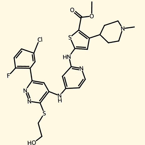 COC(=O)c1sc(Nc2cc(Nc3cc(-c4cc(Cl)ccc4F)nnc3SCCO)ccn2)cc1C1CCN(C)CC1